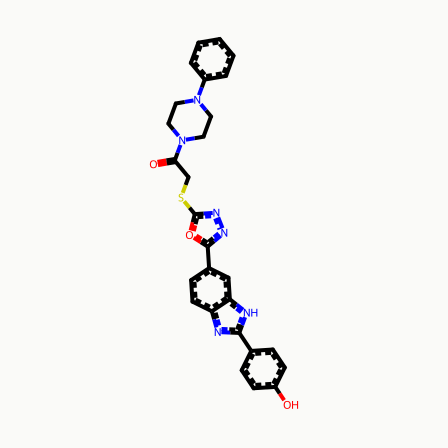 O=C(CSc1nnc(-c2ccc3nc(-c4ccc(O)cc4)[nH]c3c2)o1)N1CCN(c2ccccc2)CC1